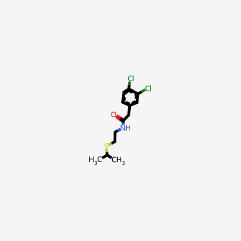 CC(C)SCCNC(=O)Cc1ccc(Cl)c(Cl)c1